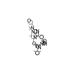 Cc1cccc(C)c1-c1cc2nc(n1)NS(=O)(=O)c1cccc(c1)C(=O)N(Cc1cncc(N(CC3CCOCC3)C(C)C)n1)[C@H](CC(C)(C)C)CO2